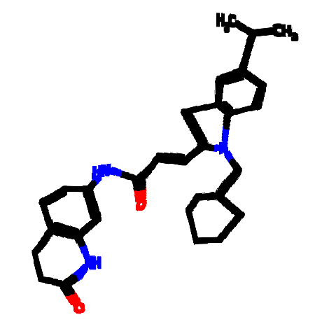 CC(C)c1ccc2c(c1)cc(/C=C/C(=O)Nc1ccc3c(c1)NC(=O)CC3)n2CC1CCCCC1